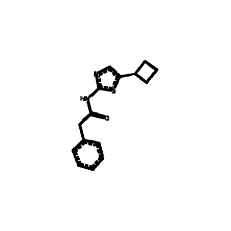 O=C(Cc1ccccc1)Nc1ncc(C2CCC2)s1